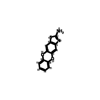 Nc1nc2cc3c(cc2s1)Oc1ccccc1O3